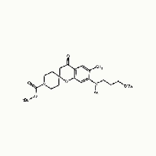 COCCCN(C(C)=O)c1cc2c(cc1C)C(=O)CC1(CCN(C(=O)OC(C)(C)C)CC1)O2